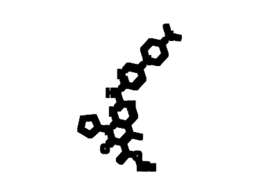 C=C(OCCCC)c1c(C)c2cnc(Nc3ccc(N4CCC(N(C)C)CC4)cn3)nc2n(C2CCCC2)c1=O